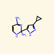 NC1=NC(N)(c2cc(C3CC3)n[nH]2)NC=C1